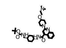 CN(C)CCOC1CCN(c2cc(C(=O)NC[C@H]3CC[C@H](CNC(=O)OC(C)(C)C)CC3)c3ccccc3n2)CC1